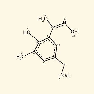 CCCCCCCCCc1cc(C)c(O)c(/C(C)=N\O)c1